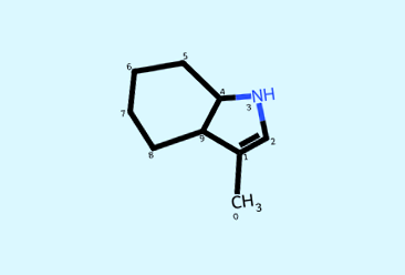 CC1=CNC2CCCCC12